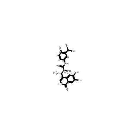 C[C@@H](c1c[nH]c(=O)c2cc(F)c(F)cc12)N(C)C(=O)Nc1ccc(F)c(C(F)F)c1